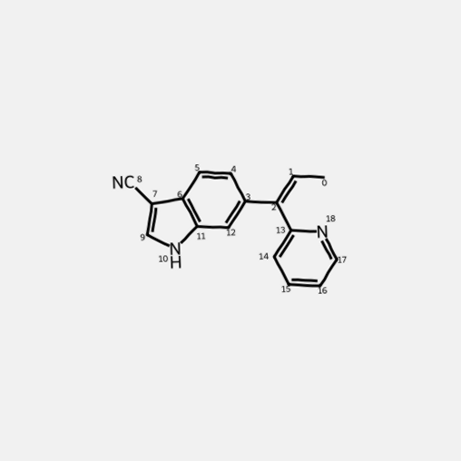 C/C=C(/c1ccc2c(C#N)c[nH]c2c1)c1ccccn1